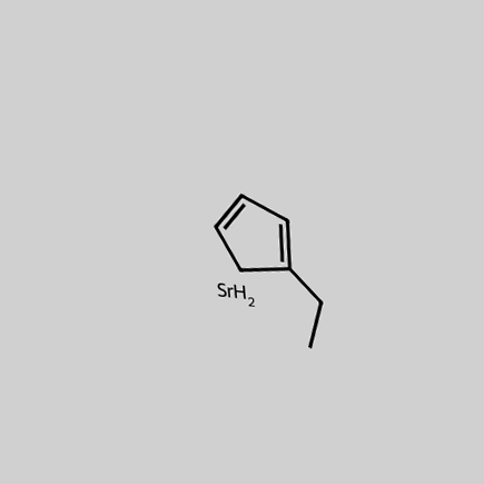 CCC1=CC=CC1.[SrH2]